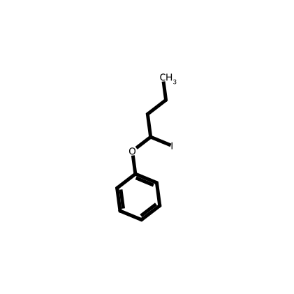 CCCC(I)Oc1ccccc1